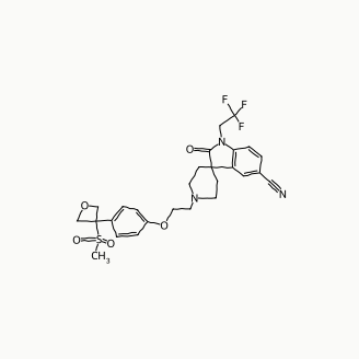 CS(=O)(=O)C1(c2ccc(OCCN3CCC4(CC3)C(=O)N(CC(F)(F)F)c3ccc(C#N)cc34)cc2)COC1